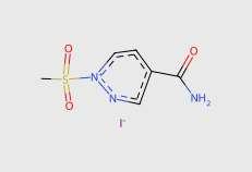 CS(=O)(=O)[n+]1ccc(C(N)=O)cn1.[I-]